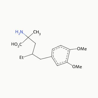 CCC(Cc1ccc(OC)c(OC)c1)CC(C)(N)C(=O)O